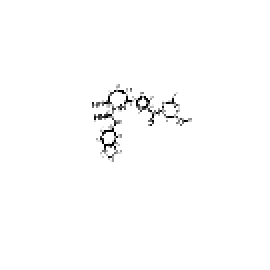 COCCN(CC(C)=O)C(=O)c1ccc(C2=NN(C(=N)Cc3ccc4c(c3)CCO4)C(=N)CC=C2)s1